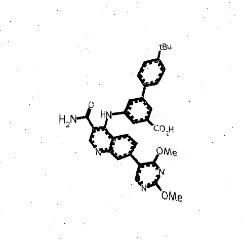 COc1ncc(-c2ccc3c(Nc4cc(C(=O)O)cc(-c5ccc(C(C)(C)C)cc5)c4)c(C(N)=O)cnc3c2)c(OC)n1